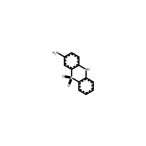 Nc1ccc2c(c1)S(=O)(=O)c1ccccc1N2